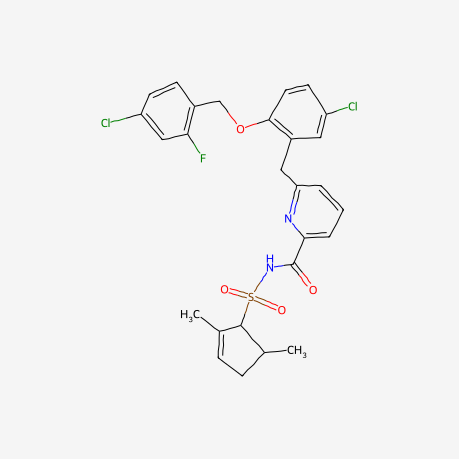 CC1=CCC(C)C1S(=O)(=O)NC(=O)c1cccc(Cc2cc(Cl)ccc2OCc2ccc(Cl)cc2F)n1